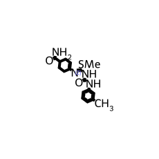 CS/C(=N\C1=CCC(C(N)=O)CC1)NC(=O)Nc1cccc(C)c1